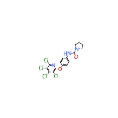 O=C(Nc1ccc(Oc2nc(Cl)c(Cl)c(Cl)c2Cl)cc1)N1CCCC1